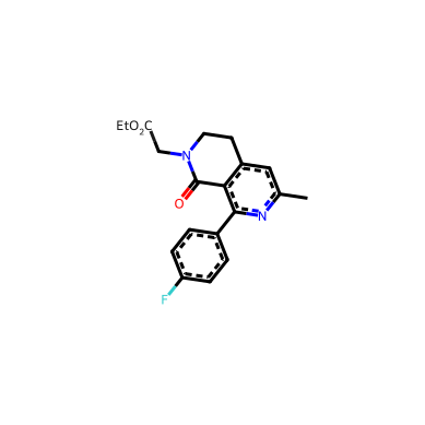 CCOC(=O)CN1CCc2cc(C)nc(-c3ccc(F)cc3)c2C1=O